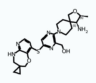 C[C@@H]1OCC2(CCN(c3ncc(Sc4ccnc5c4OCC4(CC4)CN5)nc3CO)CC2)[C@@H]1N